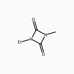 CCN1C(=O)N(C)C1=O